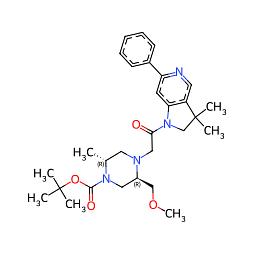 COC[C@H]1CN(C(=O)OC(C)(C)C)[C@H](C)CN1CC(=O)N1CC(C)(C)c2cnc(-c3ccccc3)cc21